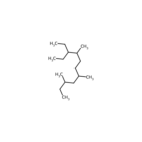 CCC(C)CC(C)[CH]CC(C)C(CC)CC